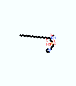 CCCCCCCCCCCCCCCCCC(=O)CC(CC(=O)P(O)C(=O)CCCN1CCCC1)NC(C)=O